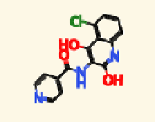 O=C(Nc1c(O)nc2cccc(Cl)c2c1O)c1ccncc1